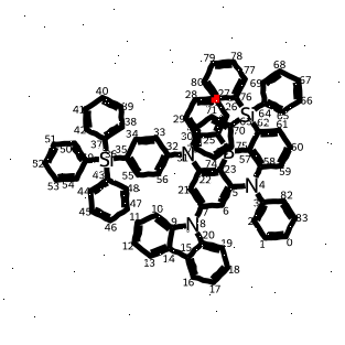 c1ccc(N2c3cc(-n4c5ccccc5c5ccccc54)cc4c3B(c3ccccc3N4c3ccc([Si](c4ccccc4)(c4ccccc4)c4ccccc4)cc3)c3c2cccc3[Si](c2ccccc2)(c2ccccc2)c2ccccc2)cc1